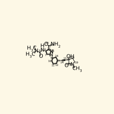 CN(C)C(=O)Nc1cn(-c2cccc(C#CC3(O)CCN(C)C3=O)c2)nc1C(N)=O